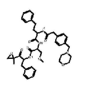 COCC(NC(=O)C(CCc1ccccc1)NC(=O)Cc1ccc(CN2CCOCC2)cc1)C(=O)NC(Cc1ccccc1)C(=O)C1(C)CO1